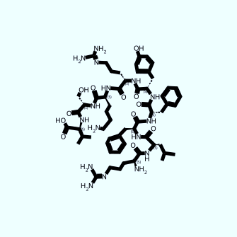 CC(C)C[C@H](NC(=O)[C@@H](N)CCCN=C(N)N)C(=O)N[C@@H](Cc1ccccc1)C(=O)N[C@@H](Cc1ccccc1)C(=O)N[C@@H](Cc1ccc(O)cc1)C(=O)N[C@@H](CCCN=C(N)N)C(=O)N[C@@H](CCCCN)C(=O)N[C@@H](CO)C(=O)N[C@H](C(=O)O)C(C)C